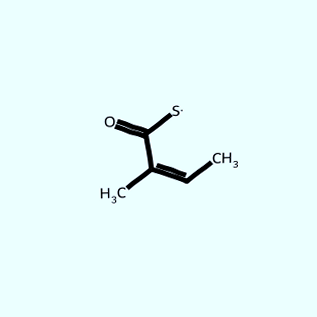 CC=C(C)C(=O)[S]